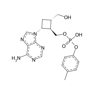 Cc1ccc(OP(=O)(O)OC[C@@H]2[C@@H](CO)C[C@H]2n2cnc3c(N)ncnc32)cc1